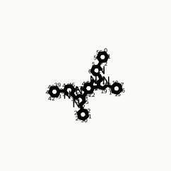 c1ccc(-c2ccc3c(n2)c2nc(-c4ccccc4)cc4c5cc6c7cc(-c8ccccc8)nc8c9nc(-c%10ccccc%10)ccc9n(c6cc5n3c42)c78)cc1